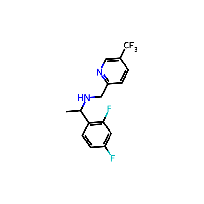 CC(NCc1ccc(C(F)(F)F)cn1)c1ccc(F)cc1F